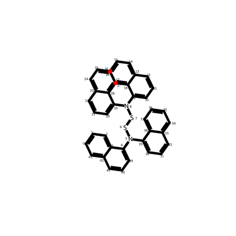 c1ccc2c(N(SSN(c3cccc4ccccc34)c3cccc4ccccc34)c3cccc4ccccc34)cccc2c1